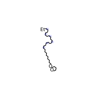 CC/C=C\C/C=C\C/C=C\C/C=C\C/C=C\C/C=C\CCCCCCCCCOC1CCCCO1